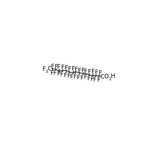 O=C(O)C(F)(F)C(F)(F)C(F)(F)C(F)(F)C(F)(F)C(F)(F)C(F)(F)C(F)(F)C(F)(F)C(F)(F)C(F)(F)C(F)(F)C(F)(F)C(F)(F)C(F)(F)C(F)(F)F